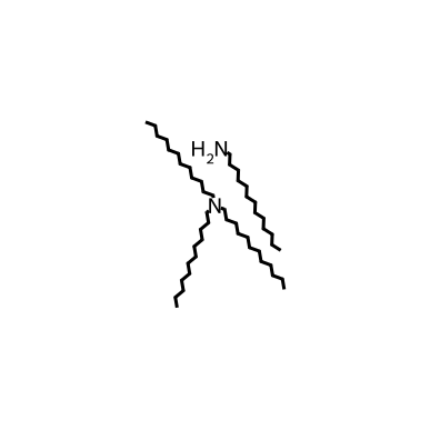 CCCCCCCCCCCCCN.CCCCCCCCCCCCN(CCCCCCCCCCCC)CCCCCCCCCCCC